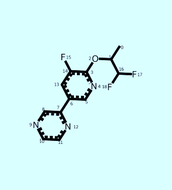 CC(Oc1ncc(-c2cn[c]cn2)cc1F)C(F)F